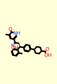 Cc1ccccc1[C@@H](C/C(=N\O)c1c[nH]c(=O)c(C)c1)c1ccc(C2CCC(C(=O)O)CC2)cc1